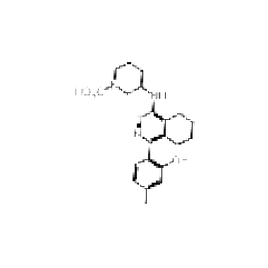 Cc1ccc(-c2nnc(NC3CCCN(C(=O)O)C3)c3c2CCCC3)c(O)c1